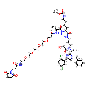 CC(C)C(NC(=O)CCOCCOCCOCCOCCNC(=O)CCN1C(=O)C=CC1=O)C(=O)NC(CCCCNC(=O)OC(C)(C)C)C(=O)NCCCN(C(=O)CO)C(c1nc(-c2cc(F)ccc2F)cn1Cc1ccccc1)C(C)(C)C